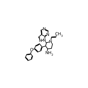 CC=CN1CCC(N)C(c2ccc(Oc3ccccc3)cc2)C1n1ncc2cncnc21